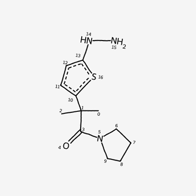 CC(C)(C(=O)N1CCCC1)c1ccc(NN)s1